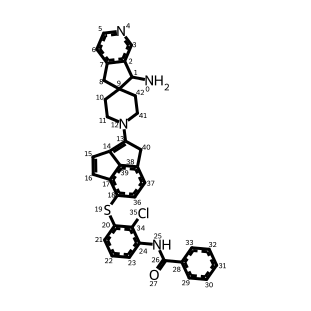 NC1c2cnccc2CC12CCN(C1=C3C=Cc4c(Sc5cccc(NC(=O)c6ccccc6)c5Cl)ccc(c43)C1)CC2